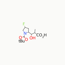 CC(C(=O)O)C(O)C1CC(F)CN1C(=O)OC(C)(C)C